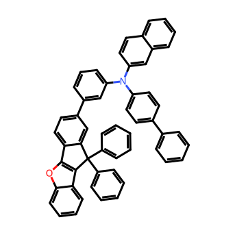 c1ccc(-c2ccc(N(c3cccc(-c4ccc5c(c4)C(c4ccccc4)(c4ccccc4)c4c-5oc5ccccc45)c3)c3ccc4ccccc4c3)cc2)cc1